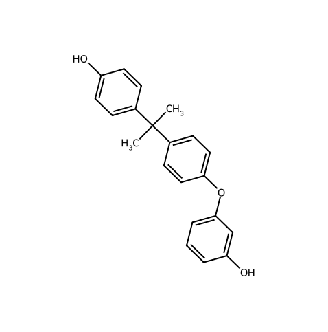 CC(C)(c1ccc(O)cc1)c1ccc(Oc2cccc(O)c2)cc1